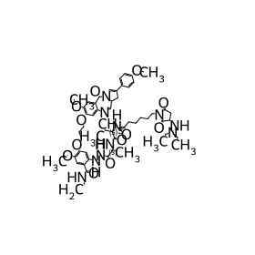 C=CNC(=O)c1cc(OC)c(OCCCOc2cc3c(cc2OC)C(=O)N2C=C(c4ccc(OC)cc4)CC2C=N3)cc1NNC(=O)[C@H](C)NC(=O)[C@@H](NC(=O)CCCCCN1C(=O)CC(NN(CC)CC)C1=O)C(C)C